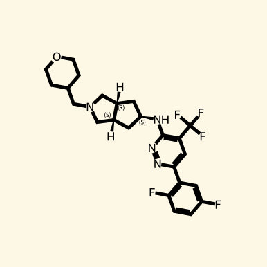 Fc1ccc(F)c(-c2cc(C(F)(F)F)c(N[C@H]3C[C@@H]4CN(CC5CCOCC5)C[C@@H]4C3)nn2)c1